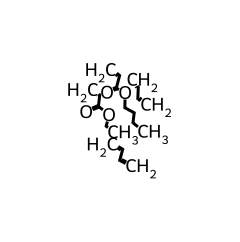 C=CC(=O)OCC.C=CC(=O)OCCCC.C=CC=C.C=CC=C